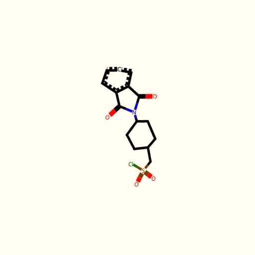 O=C1c2ccccc2C(=O)N1C1CCC(CS(=O)(=O)Cl)CC1